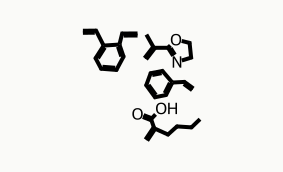 C=C(C)C1=NCCO1.C=C(CCCC)C(=O)O.C=Cc1ccccc1.C=Cc1ccccc1C=C